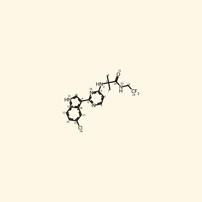 CC(C)(Nc1ccnc(-c2c[nH]c3ccc(Cl)cc23)n1)C(=O)NCC(F)(F)F